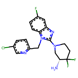 N[C@@H]1CN(c2nc3cc(F)ccc3n2Cc2ccc(Cl)cn2)CCC1(F)F